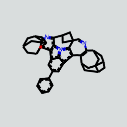 C1=NC2=C(c3c4n5c6c(nc7c(c6c6cc(-c8ccccc8)cc3c65)C3CC5CC(CC7C5)C3)C3CC14C3)C1CC3CC4CC2CC43C1